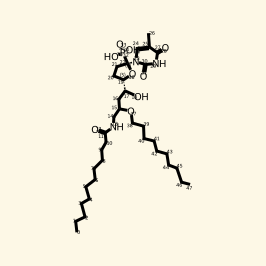 CCCCCCCCCCCC(=O)NCC(CC(O)[C@@H]1CC[C@@](n2cc(C)c(=O)[nH]c2=O)(P(=O)(O)O)O1)OCCCCCCCCCC